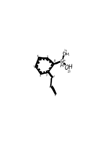 C=CCc1ccccc1[SiH](O)O